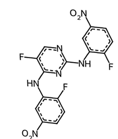 O=[N+]([O-])c1ccc(F)c(Nc2ncc(F)c(Nc3cc([N+](=O)[O-])ccc3F)n2)c1